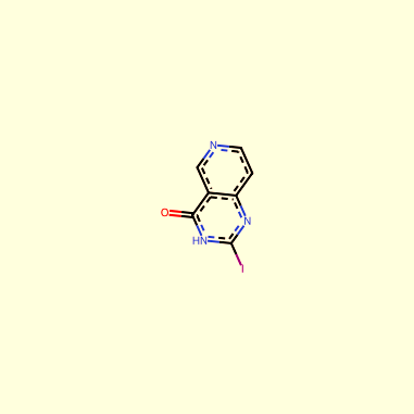 O=c1[nH]c(I)nc2ccncc12